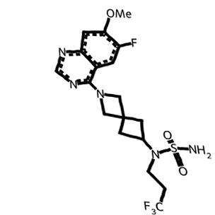 COc1cc2ncnc(N3CC4(CC(N(CCC(F)(F)F)S(N)(=O)=O)C4)C3)c2cc1F